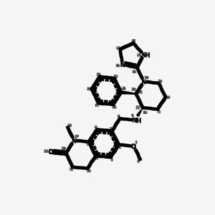 COc1cc2c(cc1CN[C@H]1CCCN(C3=NCCN3)[C@@H]1c1ccccc1)N(C)C(=O)CC2